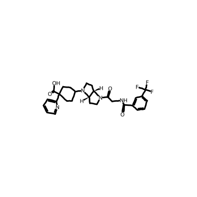 O=C(NCC(=O)N1CC[C@H]2[C@@H]1CCN2C1CCC(C(=O)O)(c2ccccn2)CC1)c1cccc(C(F)(F)F)c1